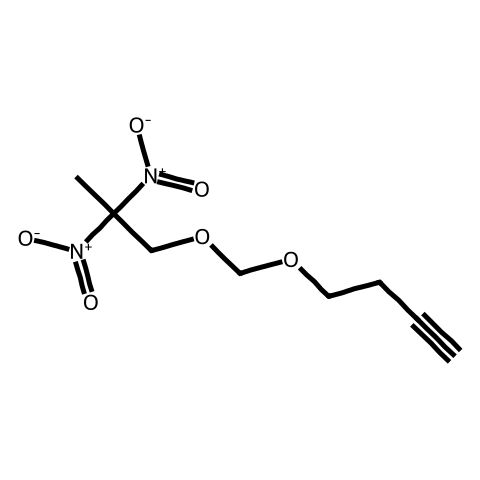 C#CCCOCOCC(C)([N+](=O)[O-])[N+](=O)[O-]